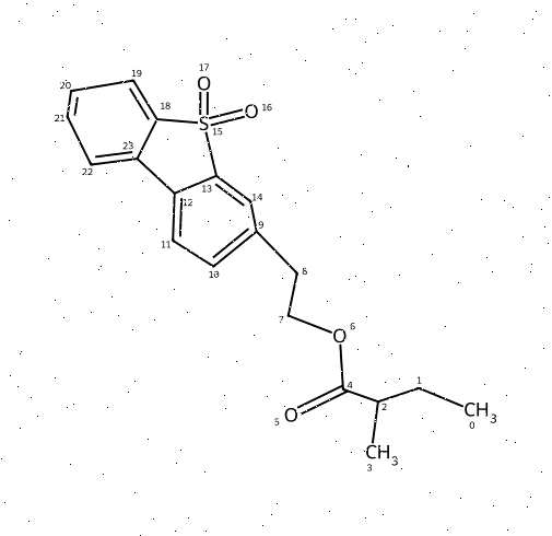 CCC(C)C(=O)OCCc1ccc2c(c1)S(=O)(=O)c1ccccc1-2